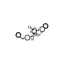 OC[C@H]1Cc2ccccc2CN1c1nc(Cl)nc(NC2CCN(Cc3ccccc3)CC2)n1